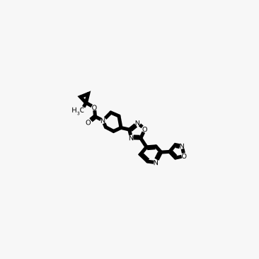 CC1(OC(=O)N2CCC(c3noc(-c4ccnc(-c5cnoc5)c4)n3)CC2)CC1